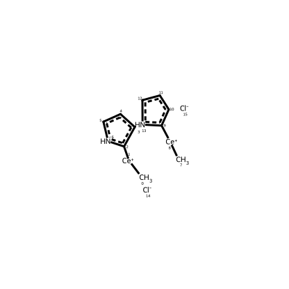 [CH3][Ce+][c]1ccc[nH]1.[CH3][Ce+][c]1ccc[nH]1.[Cl-].[Cl-]